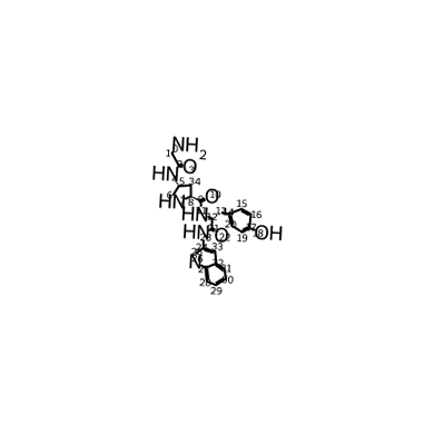 NCC(=O)N[C@H]1CN[C@H](C(=O)N[C@H](Cc2ccc(O)cc2)C(=O)Nc2cnc3ccccc3c2)C1